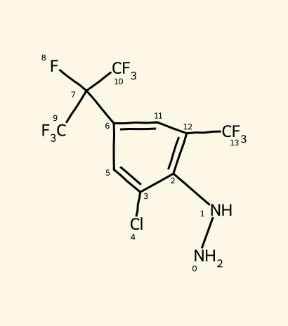 NNc1c(Cl)cc(C(F)(C(F)(F)F)C(F)(F)F)cc1C(F)(F)F